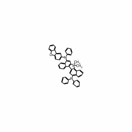 C[Si]1(C)c2cc(N(c3ccccc3)c3ccc4oc5ccccc5c4c3)c3ccccc3c2-c2cc(N(c3ccccc3)c3ccccc3)c3ccccc3c21